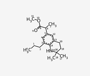 CCCc1cc(C(C)C(=O)OC)cc2c1NC(C)(C)CC2